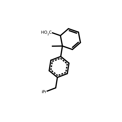 CC(C)Cc1ccc(C2(C)C=CC=CC2C(=O)O)cc1